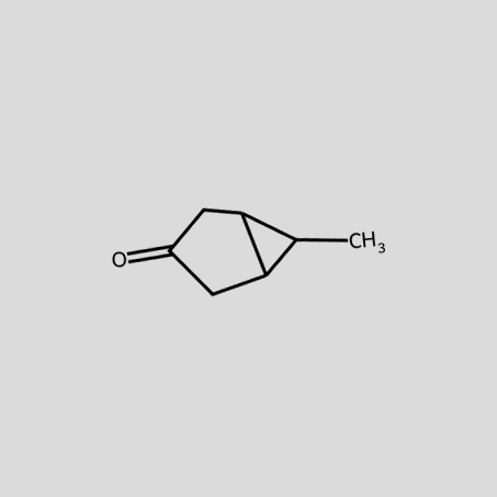 CC1C2CC(=O)CC12